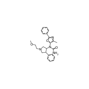 COCCN1CC(c2ccccc2)C(N(C(N)=O)c2oc(-c3ccccc3)nc2C)C1